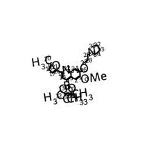 COc1cc2c(B3OC(C)(C)C(C)(C)O3)cc(-c3ccc(C)o3)nc2cc1OCCCN1CCCC1